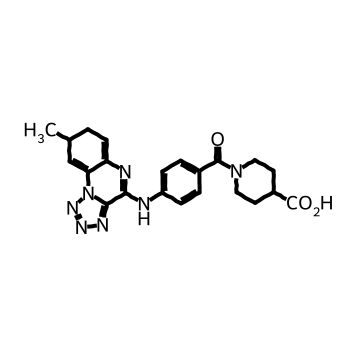 CC1C=c2c(nc(Nc3ccc(C(=O)N4CCC(C(=O)O)CC4)cc3)c3nnnn23)=CC1